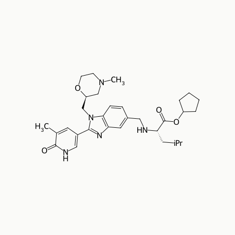 Cc1cc(-c2nc3cc(CN[C@@H](CC(C)C)C(=O)OC4CCCC4)ccc3n2C[C@@H]2CN(C)CCO2)c[nH]c1=O